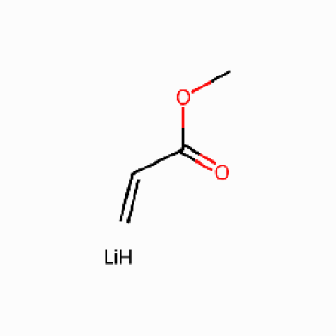 C=CC(=O)OC.[LiH]